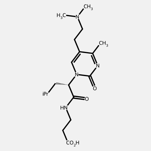 Cc1nc(=O)n([C@@H](CC(C)C)C(=O)NCCC(=O)O)cc1CCN(C)C